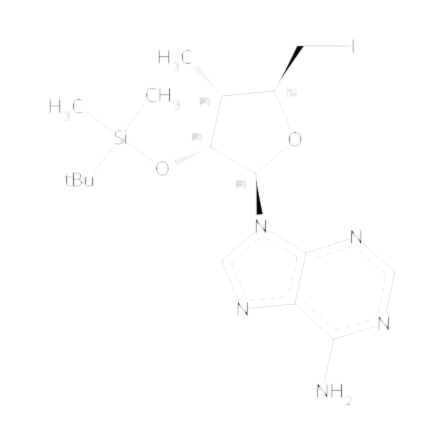 C[C@H]1[C@@H](O[Si](C)(C)C(C)(C)C)[C@H](n2cnc3c(N)ncnc32)O[C@@H]1CI